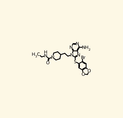 CCNC(=O)N1CCC(CCn2c(Sc3cc4c(cc3Br)OCO4)nc3c(N)ncnc32)CC1